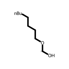 CCCCCCCCO[C]O